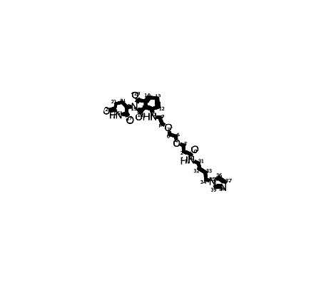 O=C(CCOCCOCCNc1cccc2c1C(=O)N(C1CCC(=O)NC1=O)C2=O)NCCCCn1ccnc1